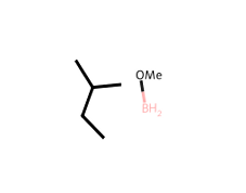 BOC.CCC(C)C